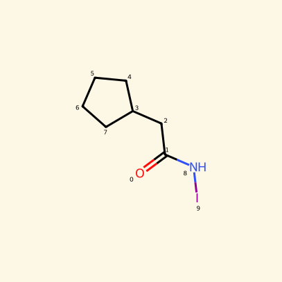 O=C(CC1CCCC1)NI